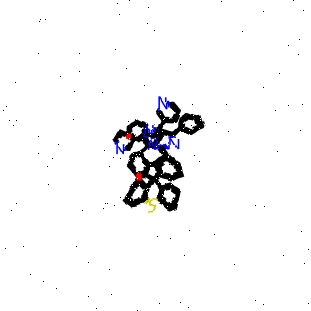 c1ccc(-c2cc(-c3ccccc3)nc(-c3cccc4c3-c3c(-c5ccc(-c6cccnc6)nc5-c5cccnc5)cccc3C43c4ccccc4Sc4ccccc43)n2)cc1